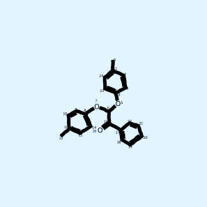 Cc1ccc(OC(Oc2ccc(C)cc2)C(=O)c2ccccc2)cc1